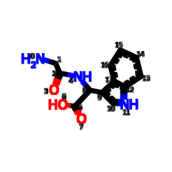 NCC(=O)NC(C(=O)O)c1c[nH]c2ccccc12